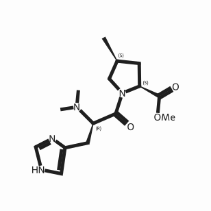 COC(=O)[C@@H]1C[C@H](C)CN1C(=O)[C@@H](Cc1c[nH]cn1)N(C)C